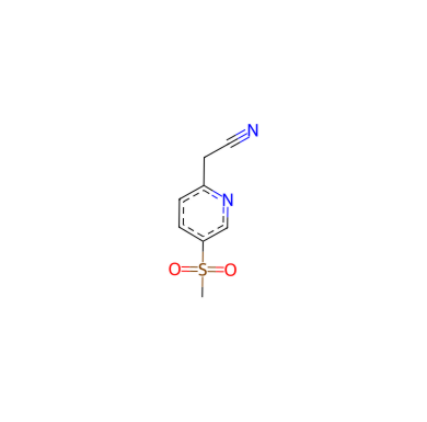 CS(=O)(=O)c1ccc(CC#N)nc1